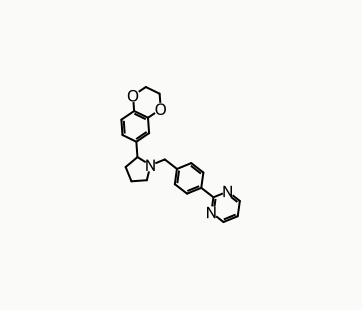 c1cnc(-c2ccc(CN3CCCC3c3ccc4c(c3)OCCO4)cc2)nc1